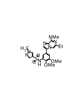 CCc1cn2c(-c3cc(NS(=O)(=O)c4cnn(C)c4)c(OC)c(OC)c3)cnc2c(NC)n1